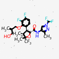 C=C(CO)COc1c([C@H]2[C@H](C(=O)Nc3cn(C(F)F)nc3C)O[C@@](C)(C(F)(F)F)[C@H]2C)ccc(F)c1F